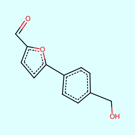 O=Cc1ccc(-c2ccc(CO)cc2)o1